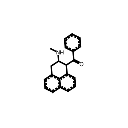 CNC1Cc2cc[c]c3cccc(c23)C1C(=O)c1ccccc1